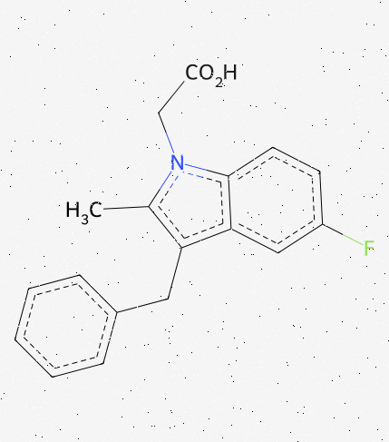 Cc1c(Cc2ccccc2)c2cc(F)ccc2n1CC(=O)O